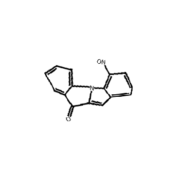 O=Nc1cccc2cc3n(c12)-c1ccccc1C3=O